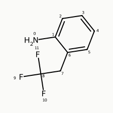 Nc1ccccc1CC(F)(F)F